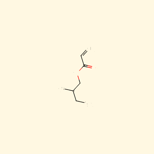 C=CC(=O)OCC(C[N+](=O)[O-])[N+](=O)[O-]